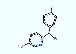 Cc1ccc(C(c2ccc(Cl)cc2)C(C)C)nc1